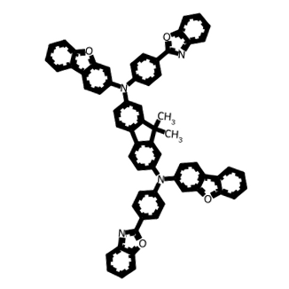 CC1(C)c2cc(N(c3ccc(-c4nc5ccccc5o4)cc3)c3ccc4c(c3)oc3ccccc34)ccc2-c2ccc(N(c3ccc(-c4nc5ccccc5o4)cc3)c3ccc4c(c3)oc3ccccc34)cc21